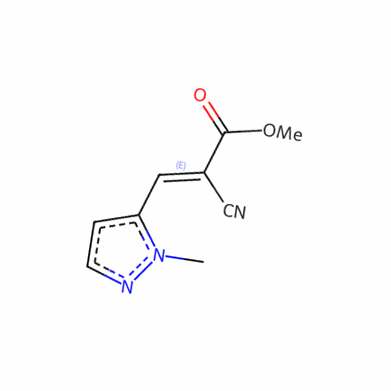 COC(=O)/C(C#N)=C/c1ccnn1C